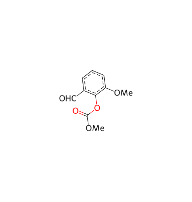 COC(=O)Oc1c(C=O)cccc1OC